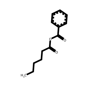 CCCCCC(=O)OC(=O)c1ccccc1